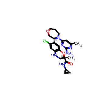 Cc1cc(N2CCCOC[C@@H]2c2cc3c(cc2Cl)NC[C@@](C)(C(=O)NC2CC2)O3)nc(N)n1